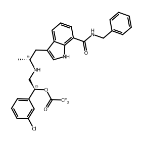 C[C@H](Cc1c[nH]c2c(C(=O)NCc3ccccc3)cccc12)NC[C@@H](OC(=O)C(F)(F)F)c1cccc(Cl)c1